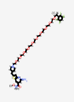 CCCN(OCC)C(=O)C1=Cc2sc(CC3CCN(CCOCCOCCOCCOCCOCCOCCOCCOCCOCCOCC(C(=O)O)c4c(F)c(F)cc(F)c4F)CC3)cc2N=C(N)C1